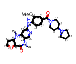 COc1cc(C(=O)N2CCC(N3CCCC3)CC2)ccc1Nc1cc2c(cn1)N(C)C(=O)c1occc1N2C